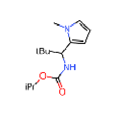 CC(C)OC(=O)NC(c1cccn1C)C(C)(C)C